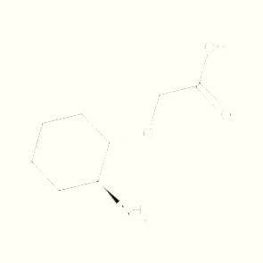 N[C@H]1CCCC[C@@H]1OCC(=O)O